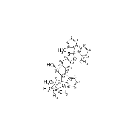 Cc1ccccc1C1(c2ccccc2C)Oc2cc3c4c(cc(O)c3cc2S1)C1(CC(C)(C)C(C)(C)C1)c1ccccc1-4